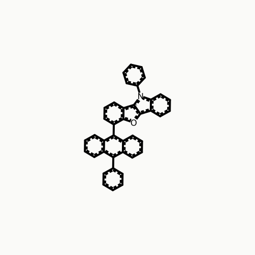 c1ccc(-c2c3ccccc3c(-c3cccc4c3oc3c5ccccc5n(-c5ccccc5)c43)c3ccccc23)cc1